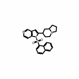 O=S(=O)(c1cccc2ccccc12)n1c(C2CCN3CCCC3C2)cc2cnccc21